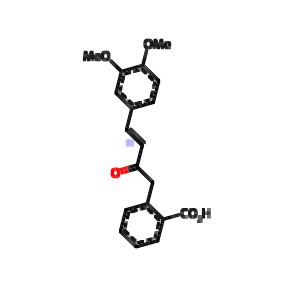 COc1ccc(/C=C/C(=O)Cc2ccccc2C(=O)O)cc1OC